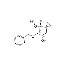 CC(C)OS(=O)(=O)C1(C[C@H](O)COCc2ccccc2)CC1